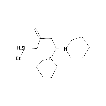 C=C(C[SiH2]CC)CC(N1CCCCC1)N1CCCCC1